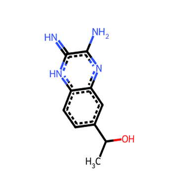 CC(O)c1ccc2[nH]c(=N)c(N)nc2c1